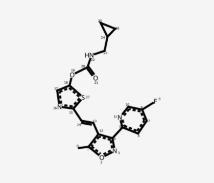 Cc1onc(-c2ccc(F)cn2)c1/C=C/c1ncc(OC(=O)NCC2CC2)s1